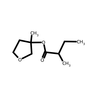 CCC(C)C(=O)OC1(C)CCOC1